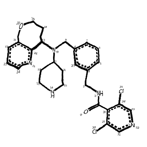 O=C(NCc1cccc(CN(C2CCNCC2)C2CCOc3cccnc32)c1)c1c(Cl)cncc1Cl